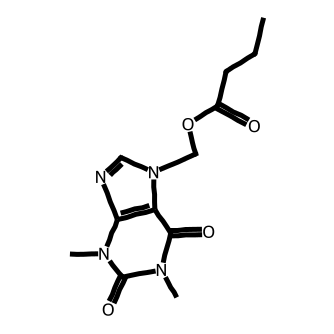 CCCC(=O)OCn1cnc2c1c(=O)n(C)c(=O)n2C